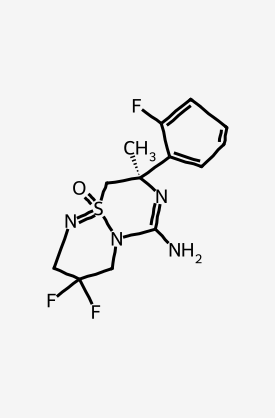 C[C@@]1(c2ccccc2F)CS2(=O)=NCC(F)(F)CN2C(N)=N1